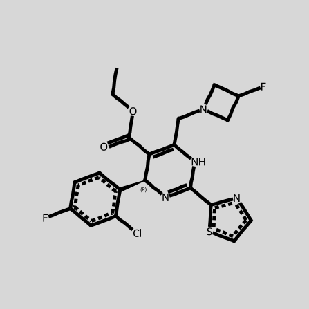 CCOC(=O)C1=C(CN2CC(F)C2)NC(c2nccs2)=N[C@H]1c1ccc(F)cc1Cl